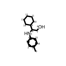 Cc1ccc(NC(CO)C2CCCCC2)cc1